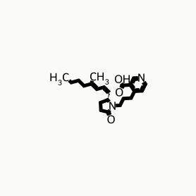 CCCC/C(C)=C/C=C\[C@H]1CCC(=O)N1CCCc1ccncc1C(=O)O